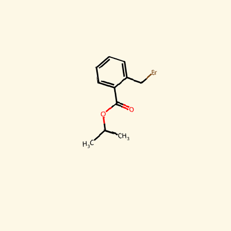 CC(C)OC(=O)c1ccccc1CBr